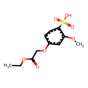 CCOC(=O)COc1ccc(S(=O)(=O)O)c(OC)c1